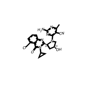 Cc1nc(N)nc(N2C[C@@H](O)C[C@H]2c2nc3cccc(Cl)c3c(=O)n2C2CC2)c1C#N